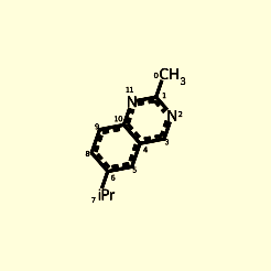 Cc1ncc2cc(C(C)C)ccc2n1